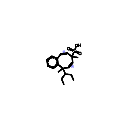 CCC(CC)C1(C)/C=C\C(C)(S(=O)(=O)O)/C=C\c2ccccc21